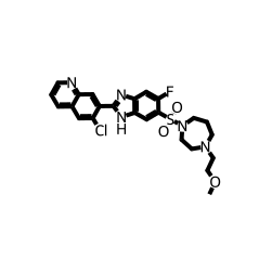 COCCN1CCCN(S(=O)(=O)c2cc3[nH]c(-c4cc5ncccc5cc4Cl)nc3cc2F)CC1